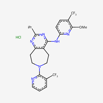 COc1nc(Nc2nc(C(C)C)nc3c2CCN(c2ncccc2C(F)(F)F)CC3)ccc1C(F)(F)F.Cl